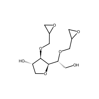 OC[C@@H](OCC1CO1)[C@H]1OC[C@H](O)[C@H]1OCC1CO1